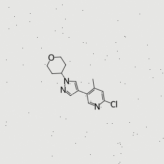 Cc1cc(Cl)ncc1-c1cnn(C2CCOCC2)c1